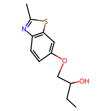 CCC(O)COc1ccc2nc(C)sc2c1